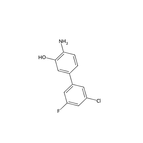 Nc1ccc(-c2cc(F)cc(Cl)c2)cc1O